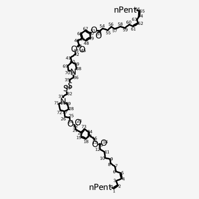 CCCCC/C=C\C/C=C\CCCCCCCC(=O)OCc1ccc(CC(=O)OCCC2CCN(CCSSCCN3CCC(CCOC(=O)Cc4ccc(OC(=O)CCCCCCC/C=C\C/C=C\CCCCC)cc4)CC3)CC2)cc1